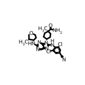 C[C@@H]1COCC[C@H]1Nc1ncc2nc(Nc3c(Cl)cc(C#N)cc3Cl)n([C@H]3CC[C@](C)(C(N)=O)CC3)c2n1